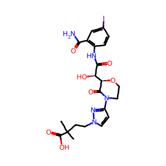 CC(C)(CCn1ccc(N2CCO[C@H]([C@@H](O)C(=O)Nc3ccc(I)cc3C(N)=O)C2=O)n1)C(=O)O